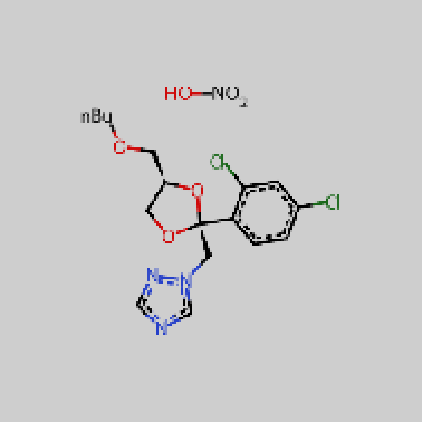 CCCCOC[C@@H]1CO[C@@](Cn2cncn2)(c2ccc(Cl)cc2Cl)O1.O=[N+]([O-])O